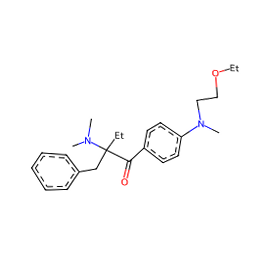 CCOCCN(C)c1ccc(C(=O)C(CC)(Cc2ccccc2)N(C)C)cc1